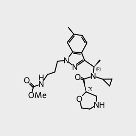 COC(=O)NCCCn1nc([C@@H](C)N(C(=O)[C@H]2CNCCO2)C2CC2)c2ccc(C)cc21